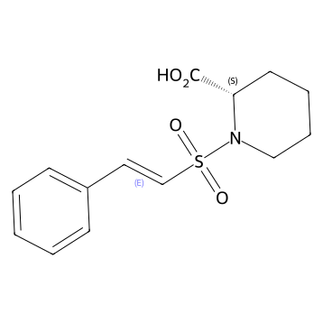 O=C(O)[C@@H]1CCCCN1S(=O)(=O)/C=C/c1ccccc1